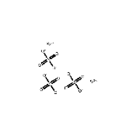 O=S(=O)([O-])[O-].O=S(=O)([O-])[O-].O=S(=O)([O-])[O-].[Pb+3].[Pb+3]